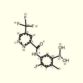 Cc1cc(F)c(NC(=O)c2cc(C(F)(F)F)cnn2)cc1B(O)O